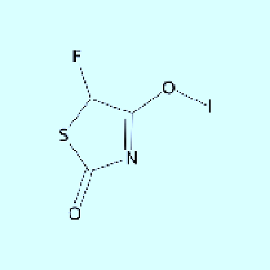 O=C1N=C(OI)C(F)S1